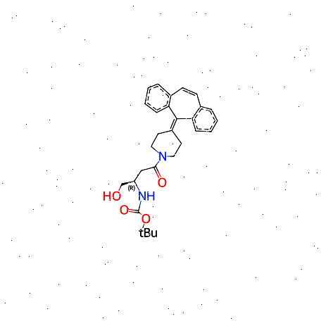 CC(C)(C)OC(=O)N[C@@H](CO)CC(=O)N1CCC(=C2c3ccccc3C=Cc3ccccc32)CC1